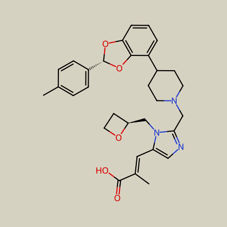 C/C(=C\c1cnc(CN2CCC(c3cccc4c3O[C@H](c3ccc(C)cc3)O4)CC2)n1C[C@@H]1CCO1)C(=O)O